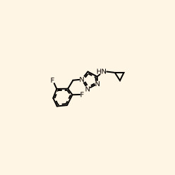 Fc1cccc(F)c1Cn1cc(NC2CC2)nn1